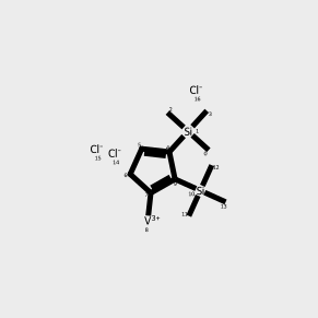 C[Si](C)(C)C1=CC[C]([V+3])=C1[Si](C)(C)C.[Cl-].[Cl-].[Cl-]